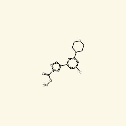 CC(C)(C)OC(=O)n1cc(-c2cc(Cl)cc(N3CCOCC3)n2)cn1